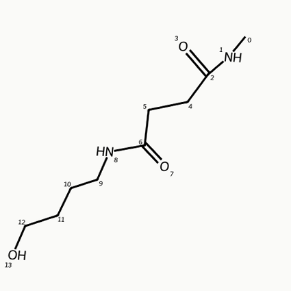 CNC(=O)CCC(=O)NCCCCO